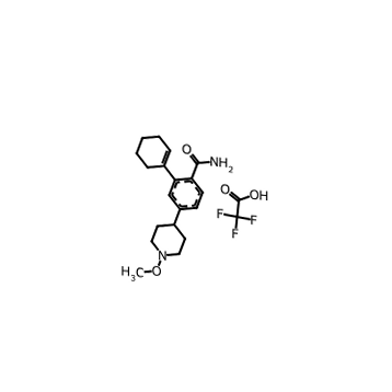 CON1CCC(c2ccc(C(N)=O)c(C3=CCCCC3)c2)CC1.O=C(O)C(F)(F)F